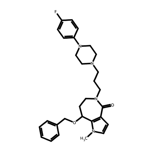 Cn1ccc2c1C(OCc1ccccc1)CCN(CCCN1CCN(c3ccc(F)cc3)CC1)C2=O